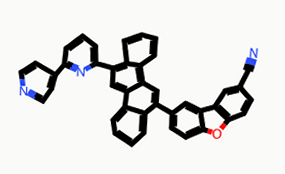 N#Cc1ccc2oc3ccc(-c4cc5c6ccccc6c(-c6cccc(-c7ccncc7)n6)cc5c5ccccc45)cc3c2c1